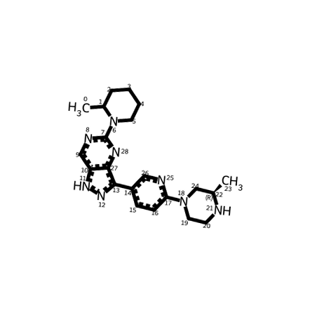 CC1CCCCN1c1ncc2[nH]nc(-c3ccc(N4CCN[C@H](C)C4)nc3)c2n1